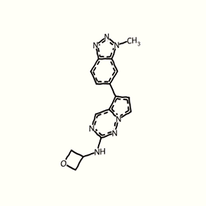 Cn1nnc2ccc(-c3ccn4nc(NC5COC5)ncc34)cc21